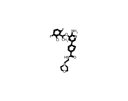 CC(Oc1cc(-c2ccc(C(=O)NCCN3CCOCC3)cc2)cnc1N)c1c(F)ccc(F)c1Cl